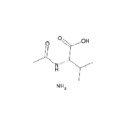 CC(=O)N[C@H](C(=O)O)C(C)C.N